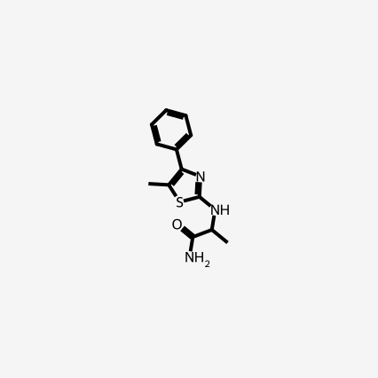 Cc1sc(NC(C)C(N)=O)nc1-c1ccccc1